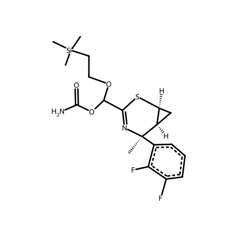 C[C@]1(c2cccc(F)c2F)N=C(C(OCC[Si](C)(C)C)OC(N)=O)S[C@H]2C[C@H]21